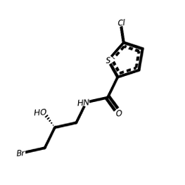 O=C(NC[C@@H](O)CBr)c1ccc(Cl)s1